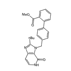 CCCCc1nc2cc[nH]c(=O)c2n1Cc1ccc(-c2ccccc2C(=O)OC)cc1